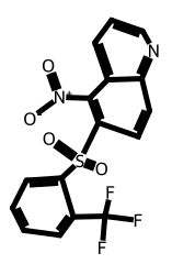 O=[N+]([O-])c1c(S(=O)(=O)c2ccccc2C(F)(F)F)ccc2ncccc12